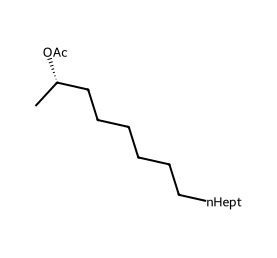 CCCCCCCCCCCCC[C@H](C)OC(C)=O